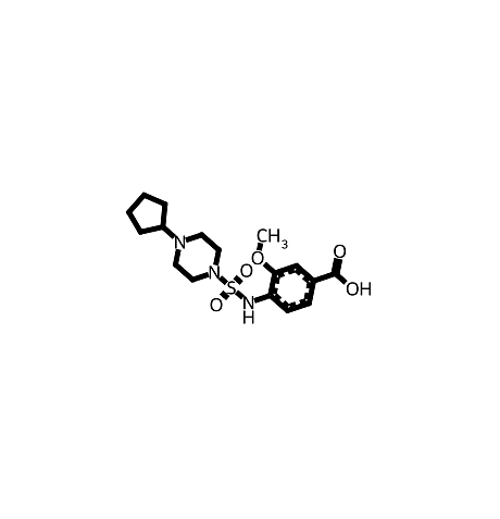 COc1cc(C(=O)O)ccc1NS(=O)(=O)N1CCN(C2CCCC2)CC1